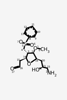 CO[C@@H]1[C@@H](CS(=O)(=O)c2ccccc2)[C@H](CC=O)O[C@@H]1C[C@H](O)CN